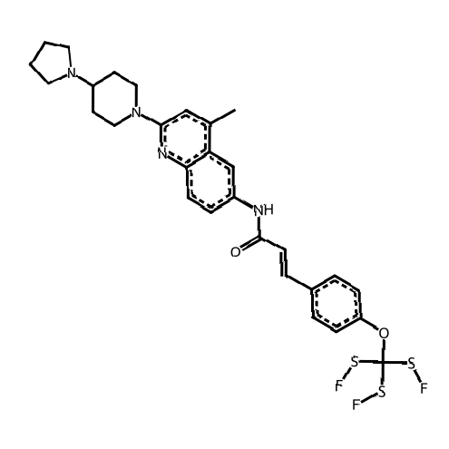 Cc1cc(N2CCC(N3CCCC3)CC2)nc2ccc(NC(=O)C=Cc3ccc(OC(SF)(SF)SF)cc3)cc12